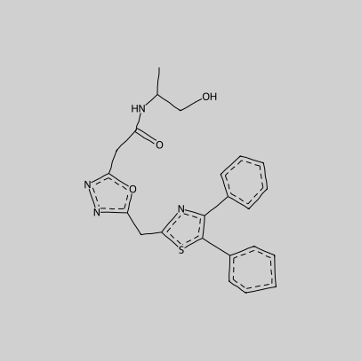 CC(CO)NC(=O)Cc1nnc(Cc2nc(-c3ccccc3)c(-c3ccccc3)s2)o1